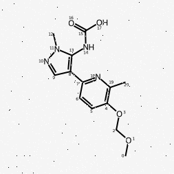 COCOc1ccc(-c2cnn(C)c2NC(=O)O)nc1C